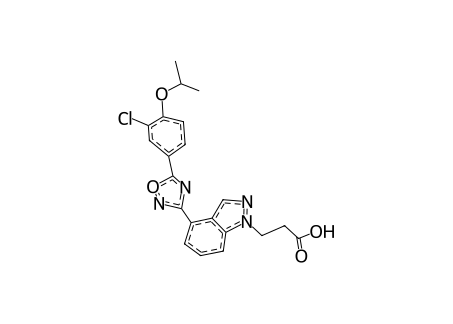 CC(C)Oc1ccc(-c2nc(-c3cccc4c3cnn4CCC(=O)O)no2)cc1Cl